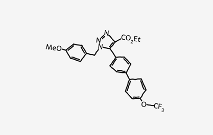 CCOC(=O)c1nnn(Cc2ccc(OC)cc2)c1-c1ccc(-c2ccc(OC(F)(F)F)cc2)cc1